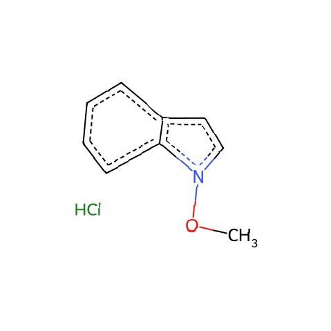 COn1ccc2ccccc21.Cl